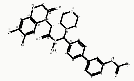 CCC(=O)Nc1cccc(-c2ccc(C(N3CCOCC3)N(C)C(=O)CN3C(=O)COc4cc(Cl)c(Cl)cc43)cc2)c1